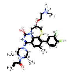 C=CC(=O)N1[C@H](C)CN(C2=NC(O)N3C[C@H](OCCN(C)C)CSc4c(-c5ccc(F)c(Cl)c5)c(C(F)(F)F)cc2c43)C[C@@H]1C